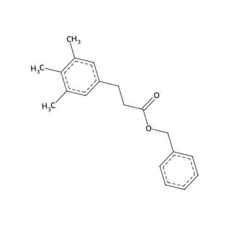 Cc1cc(CCC(=O)OCc2ccccc2)cc(C)c1C